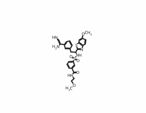 COCCNC(=O)c1cccc(S(=O)(=O)NC(Cc2cccc(C(N)=C=N)c2)c2nc3ccc(OC)cc3s2)c1